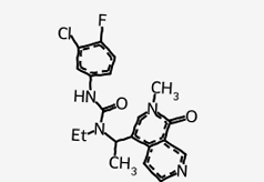 CCN(C(=O)Nc1ccc(F)c(Cl)c1)C(C)c1cn(C)c(=O)c2cnccc12